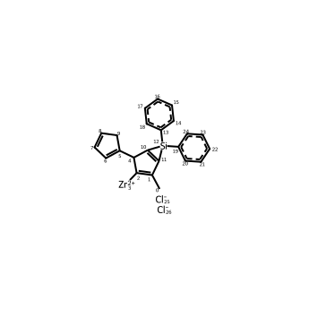 CC1=[C]([Zr+2])C(C2=CC=CC2)C2=C1[Si]2(c1ccccc1)c1ccccc1.[Cl-].[Cl-]